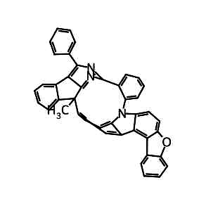 CC12c3ccc4c(c3)c3c5c(ccc3n4-c3ccccc3-c3nc(-c4ccccc4)c(c1n3)-c1ccccc12)oc1ccccc15